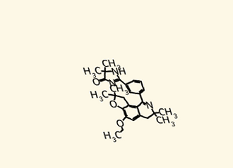 CCOc1cc2c(c3c1OC(C)(C)C3)C(c1cccc(C3=NC(=O)C(C)(C)N3)c1)=NC(C)(C)C2